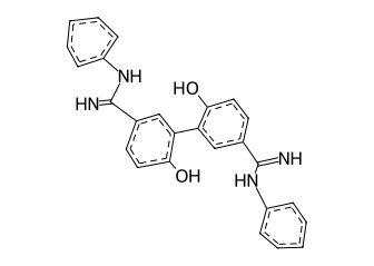 N=C(Nc1ccccc1)c1ccc(O)c(-c2cc(C(=N)Nc3ccccc3)ccc2O)c1